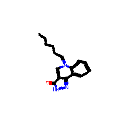 CCCCCCn1cc2c(=O)[nH]nc-2c2ccccc21